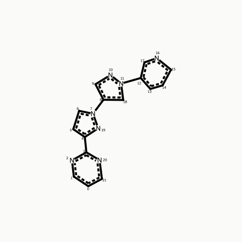 c1cnc(-c2ccn(-c3cnn(-c4cccnc4)c3)n2)nc1